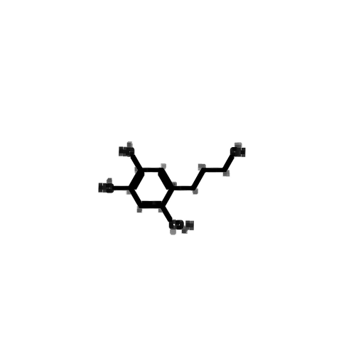 O=C(O)c1cc(O)c(O)cc1CCCO